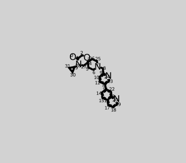 O=C1COC2(CCN(Cc3ccc(-c4ccc5cccnc5c4)cn3)CC2)CN1C1CC1